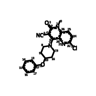 Cn1c(=O)c(C#N)c(N2CCC(Oc3ccccc3)CC2)c2nc(Cl)ccc21